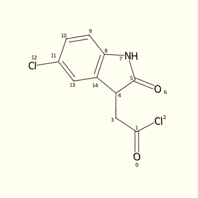 O=C(Cl)CC1C(=O)Nc2ccc(Cl)cc21